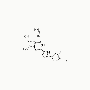 Cc1ccc(-c2ccc(C(=O)NC(CNC=N)c3nc(C)c(CO)s3)[nH]2)cc1F